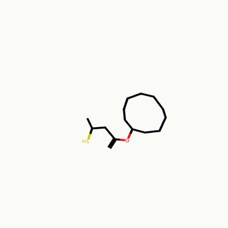 C=C(CC(C)S)OC1CCCCCCCCC1